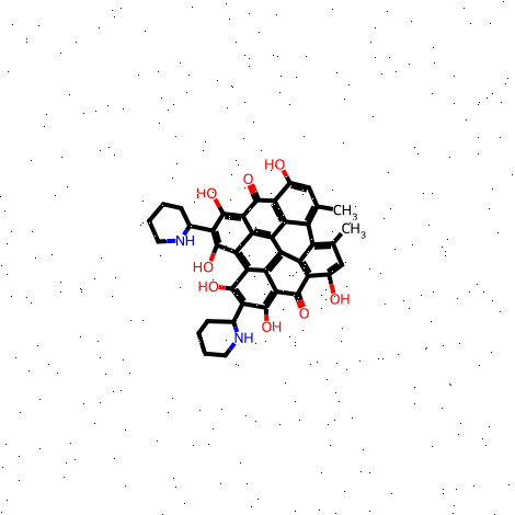 Cc1cc(O)c2c(=O)c3c(O)c(C4CCCCN4)c(O)c4c5c(O)c(C6CCCCN6)c(O)c6c(=O)c7c(O)cc(C)c8c1c2c(c34)c(c78)c65